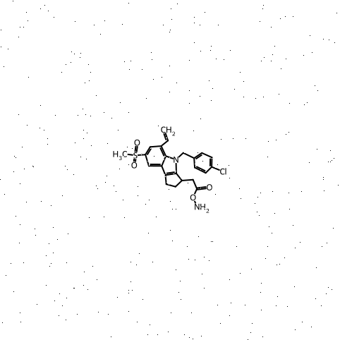 C=Cc1cc(S(C)(=O)=O)cc2c3c(n(Cc4ccc(Cl)cc4)c12)C(CC(=O)ON)CC3